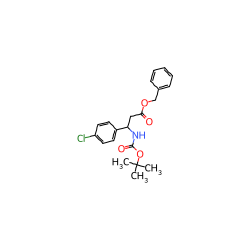 CC(C)(C)OC(=O)NC(CC(=O)OCc1ccccc1)c1ccc(Cl)cc1